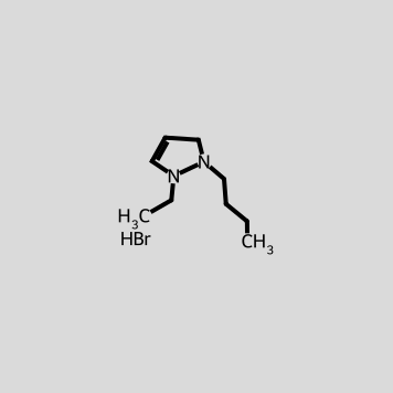 Br.CCCCN1CC=CN1CC